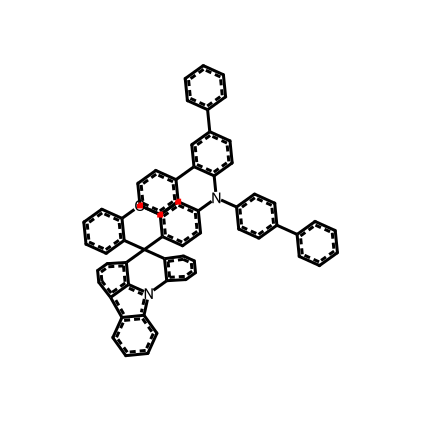 c1ccc(-c2ccc(N(c3ccc4c(c3)Oc3ccccc3C43c4ccccc4-n4c5ccccc5c5cccc3c54)c3ccc(-c4ccccc4)cc3-c3ccccc3)cc2)cc1